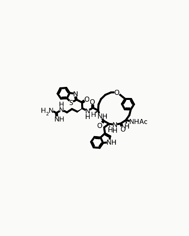 CC(=O)N[C@H]1Cc2ccc(cc2)OCCCC[C@@H](C(=O)N[C@@H](CCCNC(=N)N)C(=O)c2nc3ccccc3s2)NC(=O)[C@H](Cc2c[nH]c3ccccc23)NC1=O